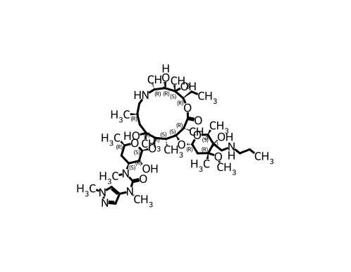 CCCNC[C@]1(O)[C@H](C)O[C@@H](O[C@H]2[C@H](C)[C@@H](O[C@@H]3O[C@H](C)C[C@H](N(C)C(=O)N(C)c4cnn(C)c4)[C@H]3O)[C@](C)(O)C[C@@H](C)CN[C@H](C)[C@@H](O)[C@](C)(O)[C@@H](CC)OC(=O)[C@@H]2C)C[C@@]1(C)OC